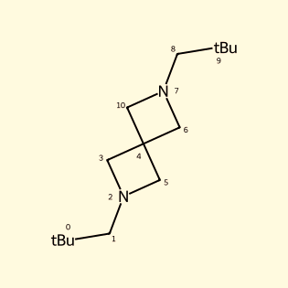 CC(C)(C)CN1CC2(C1)CN(CC(C)(C)C)C2